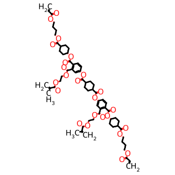 C=CC(=O)OCCCCOC(=O)C1CCC(OC(=O)c2ccc(OC(=O)C3CCC(C(=O)Oc4ccc(C(=O)OC5CCC(C(=O)OCCCCOC(=O)C=C)CC5)c(C(=O)OCCOC(=O)C(=C)C)c4)CC3)cc2C(=O)OCCOC(=O)C(=C)C)CC1